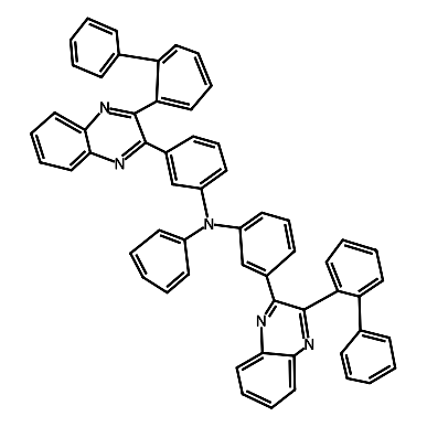 c1ccc(-c2ccccc2-c2nc3ccccc3nc2-c2cccc(N(c3ccccc3)c3cccc(-c4nc5ccccc5nc4-c4ccccc4-c4ccccc4)c3)c2)cc1